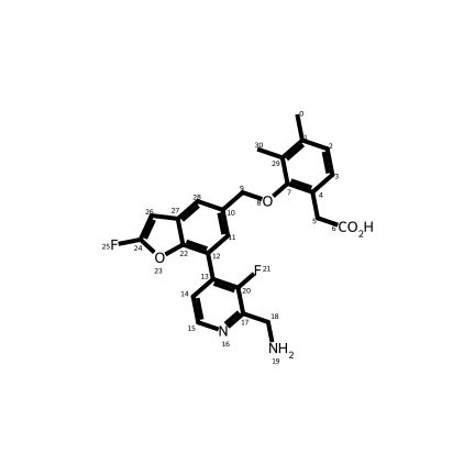 Cc1ccc(CC(=O)O)c(OCc2cc(-c3ccnc(CN)c3F)c3oc(F)cc3c2)c1C